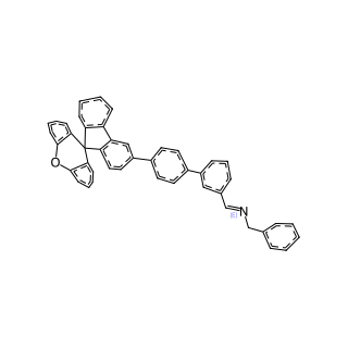 C(=N\Cc1ccccc1)/c1cccc(-c2ccc(-c3ccc4c(c3)-c3ccccc3C43c4ccccc4Oc4ccccc43)cc2)c1